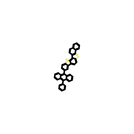 c1ccc(-c2c3ccccc3c(-c3ccc4sc5c(ccc6sc7c8ccccc8ccc7c65)c4c3)c3ccccc23)cc1